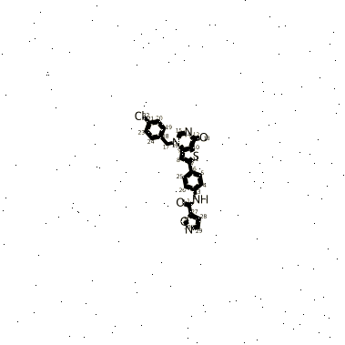 O=C(Nc1ccc(-c2cc3c(s2)c(=O)ncn3Cc2ccc(Cl)cc2)cc1)c1ccno1